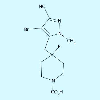 Cn1nc(C#N)c(Br)c1CC1(F)CCN(C(=O)O)CC1